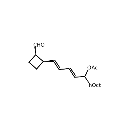 CCCCCCCCC(/C=C/C=C/[C@H]1CC[C@H]1C=O)OC(C)=O